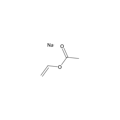 C=COC(C)=O.[Na]